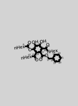 CCCCCCC(=O)Oc1c(O)c(O)c(C(=O)CCCCCC)c(C(=O)OCc2ccccc2)c1C(=O)CCCCCC